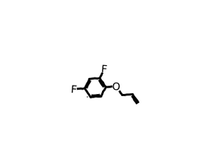 C=CCOc1c[c]c(F)cc1F